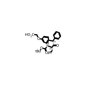 CC(C)C[C@H](NC(=O)OC(C)(C)C)C(=O)[C@@H](c1ccccc1)c1ccc(OCC(=O)O)cc1